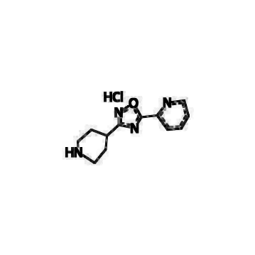 Cl.c1ccc(-c2nc(C3CCNCC3)no2)nc1